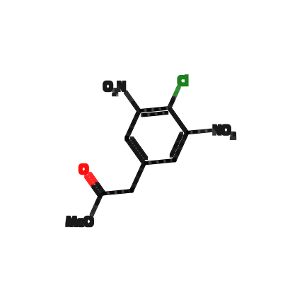 COC(=O)Cc1cc([N+](=O)[O-])c(Cl)c([N+](=O)[O-])c1